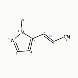 Cn1nccc1/C=C/C#N